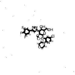 COC1C(n2cc(-c3cc(F)c(F)c(F)c3)nn2)[C@@H](O)C(CO)O[C@@H]1Sc1cc(Cl)cnc1N1CCOCC1